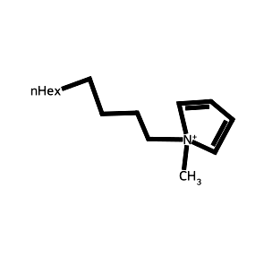 CCCCCCCCCC[N+]1(C)C=CC=C1